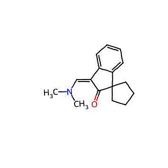 CN(C)C=C1C(=O)C2(CCCC2)c2ccccc21